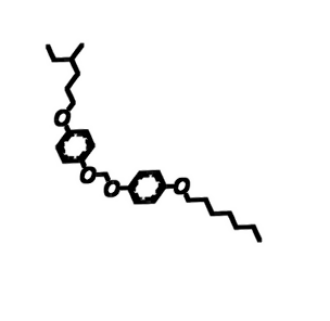 CCCCCCCOc1ccc(OCOc2ccc(OCCCC(C)CC)cc2)cc1